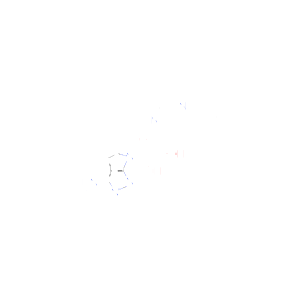 Nc1ncnc2c1ccn2[C@@H]1O[C@H](CN2CCCC23CCN(CC(F)(F)F)CC3)[C@@H](O)[C@H]1O